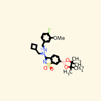 COc1cc(/C=N/N(CC2CCC2)C2=NS(=O)(=O)c3cc(B4OC(C)(C)C(C)(C)O4)ccc32)ccc1F